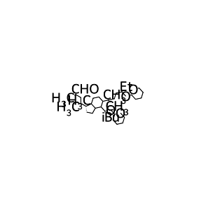 CC[C@@H](CCC(C)(C)C1CC[C@@]2(C)C(CC[C@@H]2[C@H](C)C[C@H](C)C=O)C1[C@@H](OC1CCCCO1)[C@@H](C)CC)OC1CCCCO1